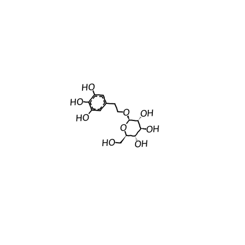 OC[C@H]1O[C@@H](OCCc2cc(O)c(O)c(O)c2)[C@H](O)[C@@H](O)[C@@H]1O